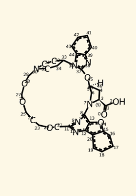 O=C(O)[C@@H]1C[C@H]2CN1c1nc(nc3c1oc1ccccc13)COCCCOCOCN1CCC(CC1)n1c(nc3ccccc31)O2